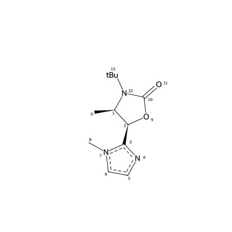 C[C@@H]1[C@H](c2nccn2C)OC(=O)N1C(C)(C)C